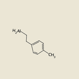 Cc1ccc(C[CH2][AlH2])cc1